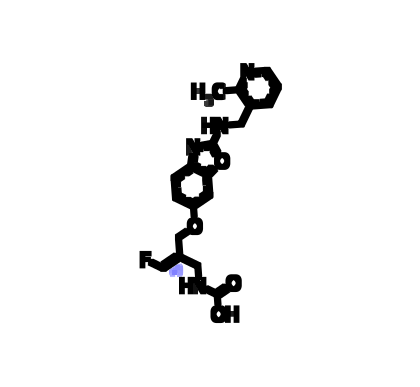 Cc1ncccc1CNc1nc2ccc(OC/C(=C\F)CNC(=O)O)cc2o1